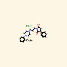 COc1ccccc1N1CCN(CCCN2C(=O)CC(c3ccccc3)C2=O)CC1.Cl